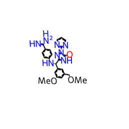 COCc1cc(OC)cc([C@H](Nc2ccc(C(=N)N)cc2)c2nn(-c3ncccn3)c(=O)[nH]2)c1